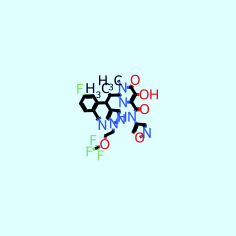 CC(c1nc(C(=O)Nc2cnoc2)c(O)c(=O)n1C)C(c1cnn(CCOC(F)(F)F)c1)c1cc(F)ccc1C#N